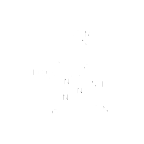 CCOC(=O)c1ccc(-c2ccn(C)n2)cc1-c1nc(N2CCOCC2)nc(Nc2ccncc2)c1Cl